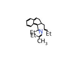 CCC=CCC1CC=c2ccccc2=C1/C(CC)=N/C=C(/C)CC